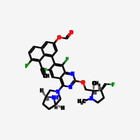 C#Cc1c(F)ccc2cc(OC=O)cc(-c3c(F)cc4c(N5C[C@H]6CC[C@@H](C5)N6)nc(OC[C@@]5(C)[C@@H](CF)CCN5C)nc4c3F)c12